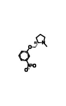 CN1CCC[C@H]1COc1cccc([N+](=O)[O-])c1